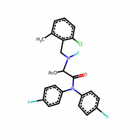 CC(=O)OC(C(=O)N(c1ccc(F)cc1)c1ccc(F)cc1)N(F)Cc1c(C)cccc1Cl